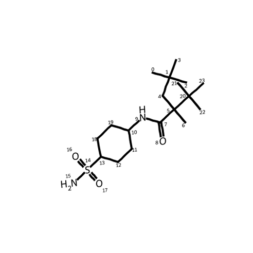 CC(C)(C)CC(C)(C(=O)NC1CCC(S(N)(=O)=O)CC1)C(C)(C)C